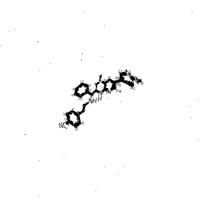 CN1C[C@H]([C@H](NCCc2ccc(C#N)cc2)c2ccccc2)Nc2ncc(-c3cnn(C)c3)cc21